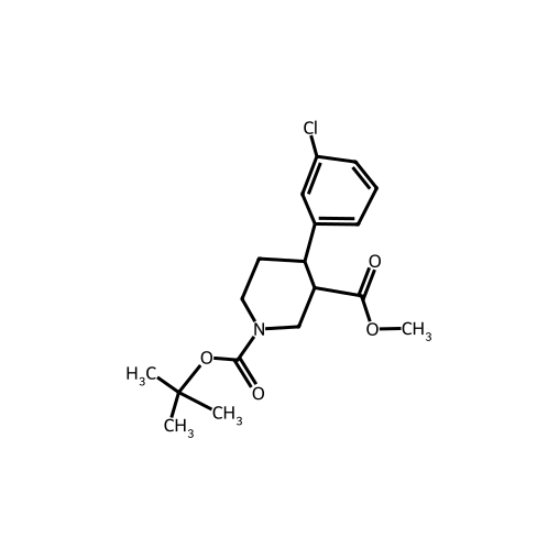 COC(=O)C1CN(C(=O)OC(C)(C)C)CCC1c1cccc(Cl)c1